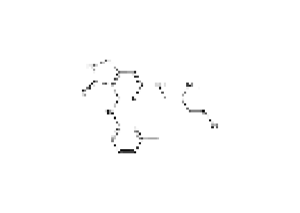 CCOCC(N)CNc1cc2c(c(Nc3cccc(C)c3)n1)C(=O)NC2